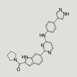 O=C(c1cc2ccc(-c3nccc(Nc4ccc(-c5cn[nH]c5)cc4)n3)cc2[nH]1)N1CCCC1